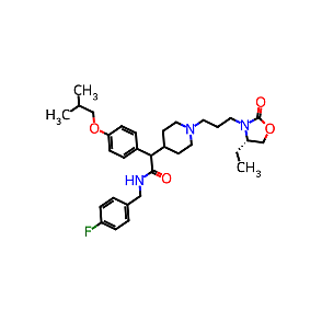 CC[C@H]1COC(=O)N1CCCN1CCC(C(C(=O)NCc2ccc(F)cc2)c2ccc(OCC(C)C)cc2)CC1